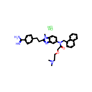 CN(C)CCOCC(=O)N(Cc1cccc2ccccc12)c1ccc2c(c1)nc(CCc1ccc(C(=N)N)cc1)n2C.Cl.Cl